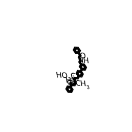 CC(=CC(=O)c1ccccc1)N[C@@H](Cc1ccc(-c2cccc(CNCC(=O)c3ccccc3)c2)cc1)C(=O)O